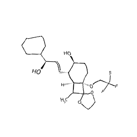 CC1[C@H]2[C@H](/C=C/[C@@H](O)C3CCCCC3)[C@@H](O)CC[C@@]2(OCC(F)(F)F)C12OCCO2